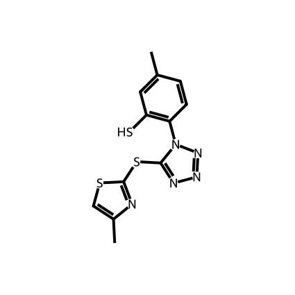 Cc1ccc(-n2nnnc2Sc2nc(C)cs2)c(S)c1